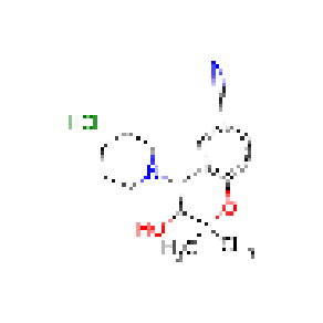 CC1(C)Oc2ccc(C#N)cc2C(N2CCCCC2)C1O.Cl